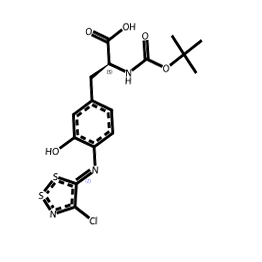 CC(C)(C)OC(=O)N[C@@H](Cc1ccc(/N=c2\ssnc2Cl)c(O)c1)C(=O)O